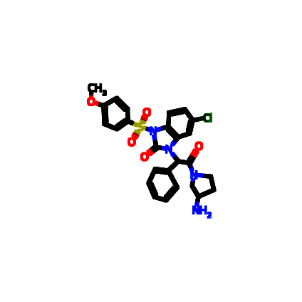 COc1ccc(S(=O)(=O)n2c(=O)n(C(C(=O)N3CCC(N)C3)c3ccccc3)c3cc(Cl)ccc32)cc1